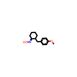 COc1ccc(CC2CCCCC2=NO)cc1